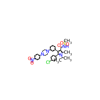 Cc1c(C(=O)NS(C)(=O)=O)c(-c2cccc(N3CCN(c4ccc([N+](=O)[O-])cc4)CC3)c2)c(-c2ccc(Cl)cc2)n1C(C)C